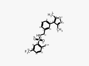 Cc1noc(C)c1-c1cccc(CNS(=O)(=O)c2cc(C(F)(F)F)ccc2F)c1